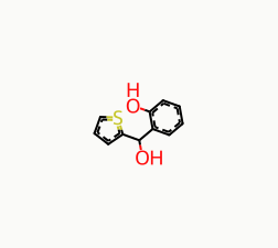 Oc1ccccc1C(O)c1cccs1